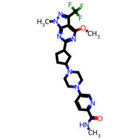 CNC(=O)c1ccc(N2CCN(C3CCC(c4nc(OC)c5c(C(F)(F)F)nn(C)c5n4)C3)CC2)cn1